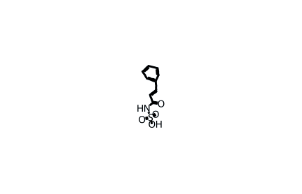 O=C(C=Cc1ccccc1)NS(=O)(=O)O